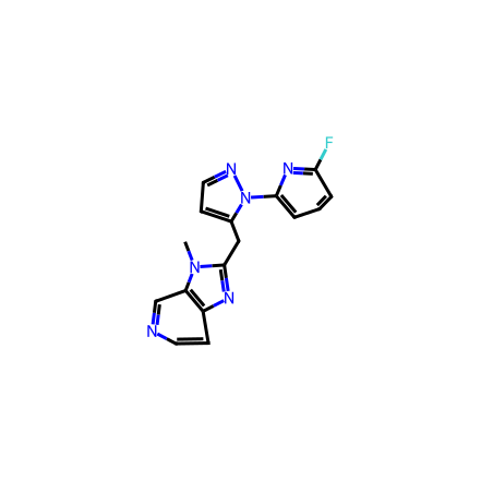 Cn1c(Cc2ccnn2-c2cccc(F)n2)nc2ccncc21